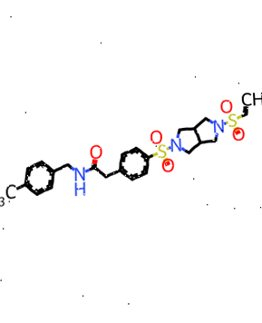 C=CS(=O)(=O)N1CC2CN(S(=O)(=O)c3ccc(CC(=O)NCc4ccc(C(F)(F)F)cc4)cc3)CC2C1